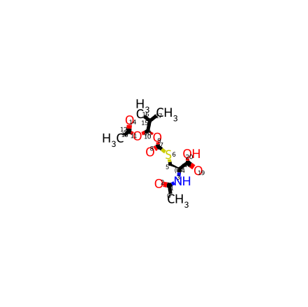 CC(=O)N[C@@H](CSC(=O)O[C@@H](OC(C)=O)C(C)C)C(=O)O